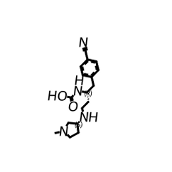 CN1CC[C@H](NCC[C@@H](Cc2ccc(C#N)cc2)NC(=O)O)C1